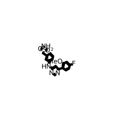 COc1cc(F)ccc1-c1cc(Nc2cccc(CS(N)(=O)=O)c2)ncn1